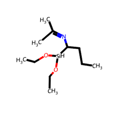 CCCC(N=C(C)C)[SiH](OCC)OCC